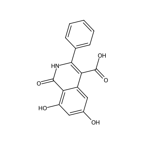 O=C(O)c1c(-c2ccccc2)[nH]c(=O)c2c(O)cc(O)cc12